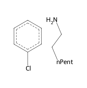 CCCCCCCN.Clc1ccccc1